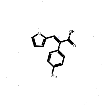 Bc1ccc(/C(=C\c2ccco2)C(=O)O)cc1